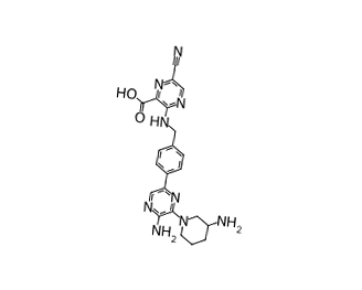 N#Cc1cnc(NCc2ccc(-c3cnc(N)c(N4CCCC(N)C4)n3)cc2)c(C(=O)O)n1